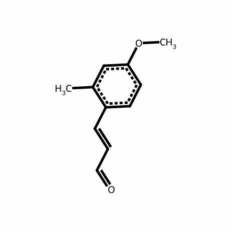 COc1ccc(C=CC=O)c(C)c1